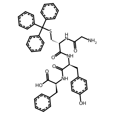 NCC(=O)N[C@@H](CSC(c1ccccc1)(c1ccccc1)c1ccccc1)C(=O)N[C@@H](Cc1ccc(O)cc1)C(=O)N[C@@H](Cc1ccccc1)C(=O)O